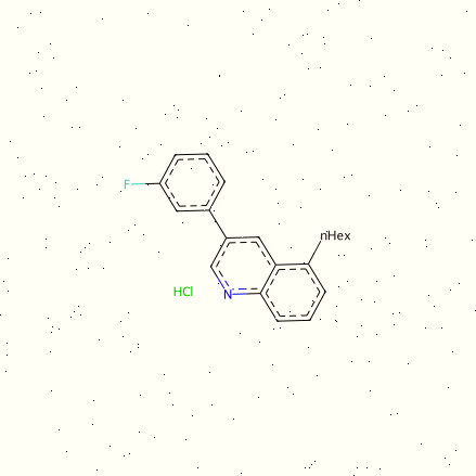 CCCCCCc1cccc2ncc(-c3cccc(F)c3)cc12.Cl